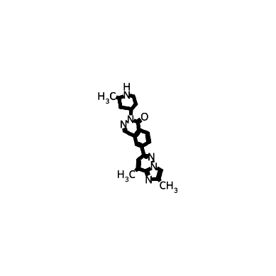 Cc1cn2nc(-c3ccc4c(=O)n(C5CCNC(C)C5)ncc4c3)cc(C)c2n1